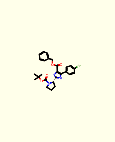 CC(C)(C)OC(=O)N1CCC[C@H]1c1nc(C(=O)OCc2ccccc2)c(-c2ccc(Br)cc2)[nH]1